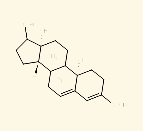 CCCCCC1CC[C@H]2[C@@H]3CC=C4C=C(C(=O)O)CC[C@]4(C)[C@@H]3CC[C@]12C